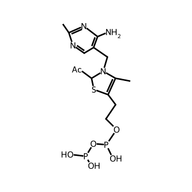 CC(=O)C1SC(CCOP(O)OP(O)O)=C(C)N1Cc1cnc(C)nc1N